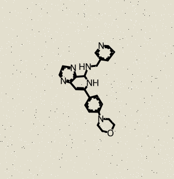 C1=C(c2ccc(N3CCOCC3)cc2)NC(NCc2cccnc2)c2nccnc21